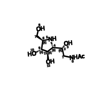 CC(=O)NC[C@@H](O)[C@H]1N[C@H](CO)[C@@H](O)[C@@H]1O